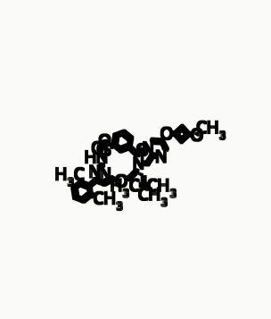 COC1CC(Oc2cnc(CN3C(=O)c4cccc(c4)S(=O)(=O)Nc4nc(cc(-c5c(C)cccc5C)n4)OC[C@H]3CC(C)(C)C)nc2)C1